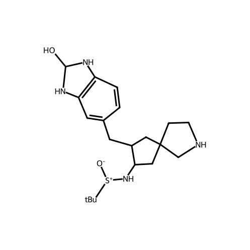 CC(C)(C)[S+]([O-])NC1CC2(CCNC2)CC1Cc1ccc2c(c1)NC(O)N2